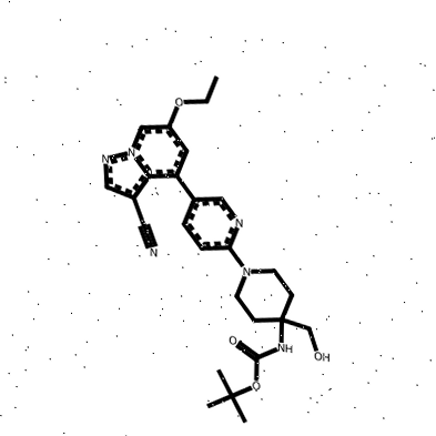 CCOc1cc(-c2ccc(N3CCC(CO)(NC(=O)OC(C)(C)C)CC3)nc2)c2c(C#N)cnn2c1